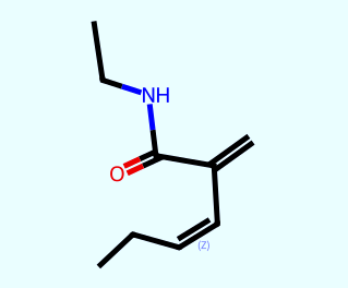 C=C(/C=C\CC)C(=O)NCC